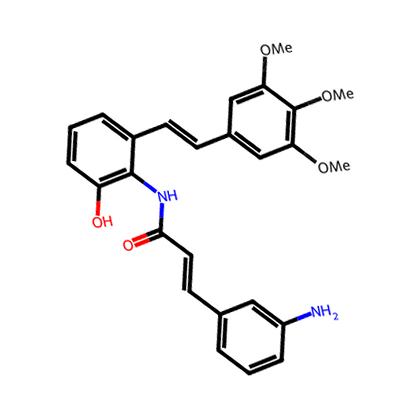 COc1cc(/C=C/c2cccc(O)c2NC(=O)/C=C/c2cccc(N)c2)cc(OC)c1OC